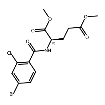 COC(=O)CC[C@@H](NC(=O)c1ccc(Br)cc1Cl)C(=O)OC